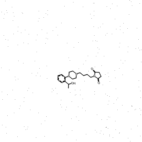 CC(O)c1ccccc1N1CCN(CCCCN2C(=O)CCC2=O)CC1